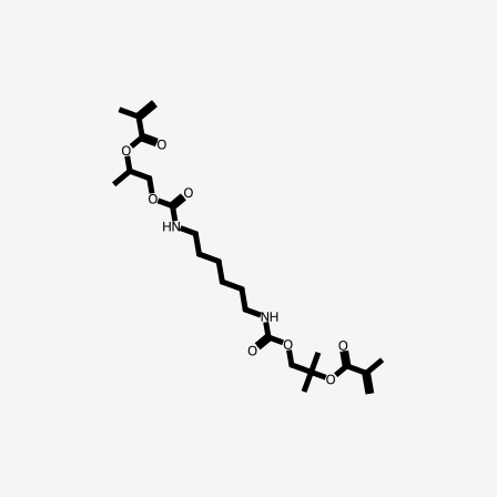 C=C(C)C(=O)OC(C)COC(=O)NCCCCCCNC(=O)OCC(C)(C)OC(=O)C(=C)C